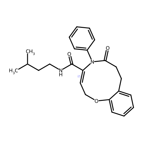 CC(C)CCNC(=O)/C1=C/COc2ccccc2CCC(=O)N1c1ccccc1